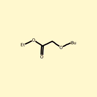 CCOC(=O)COC(C)CC